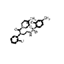 Cc1ccc(S(=O)(=O)NCCC(C(=O)N2CCC(C)CC2)c2ccccc2Cl)c(C)c1